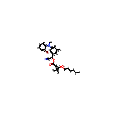 CCCCCCOC1C(C(=O)OC(C#N)c2cc(C)cc(N(C)c3ccccc3Br)c2)C1(C)C